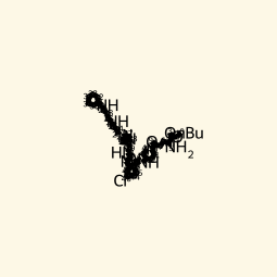 CCCCOC(=O)[C@@H](N)CCC(=O)N1CCC(Nc2nc(NCc3cn(CCCNCCCNC4CCCCC4)nn3)nc3cc(Cl)ccc23)CC1